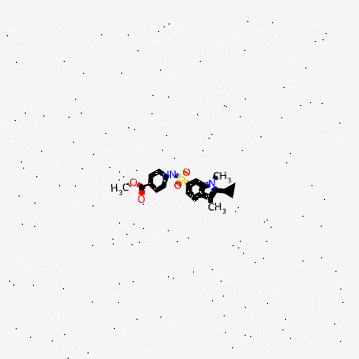 COC(=O)[C@H]1CC[C@H](NS(=O)(=O)c2ccc3c(C)c(C4CC4)n(C)c3c2)CC1